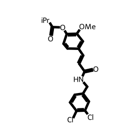 COc1cc(/C=C/C(=O)NCc2ccc(Cl)c(Cl)c2)ccc1OC(=O)C(C)C